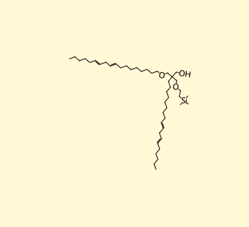 CCCCCC=CCC=CCCCCCCCCOCC(CO)(CCCCCCCCC=CCC=CCCCCC)COCC[Si](C)(C)C